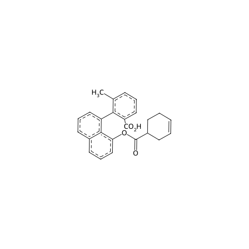 Cc1cccc(C(=O)O)c1-c1cccc2cccc(OC(=O)C3CC=CCC3)c12